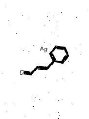 O=CC=Cc1ccccc1.[Ag]